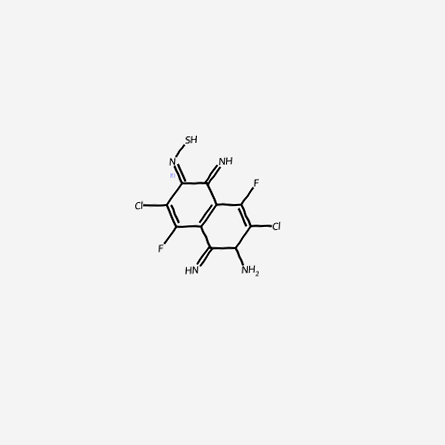 N=C1C2=C(C(=N)C(N)C(Cl)=C2F)C(F)=C(Cl)/C1=N/S